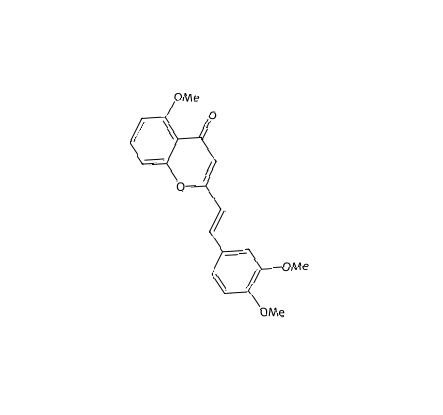 COc1ccc(C=Cc2cc(=O)c3c(OC)cccc3o2)cc1OC